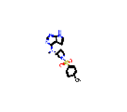 CN(c1ncnc2[nH]ccc12)[C@@H]1CCN(S(=O)(=O)c2ccc(C#N)cc2)C1